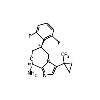 N[C@@H]1CC[C@@H](c2c(F)cccc2F)Cn2c(C3(C(F)(F)F)CC3)cnc21